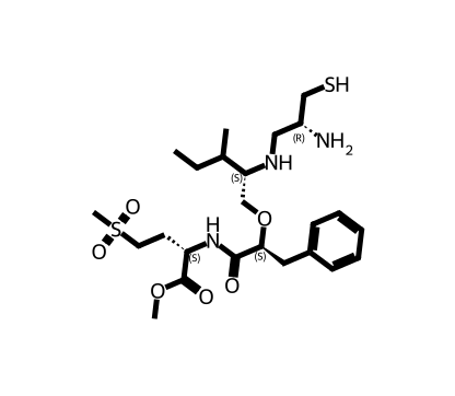 CCC(C)[C@@H](CO[C@@H](Cc1ccccc1)C(=O)N[C@@H](CCS(C)(=O)=O)C(=O)OC)NC[C@@H](N)CS